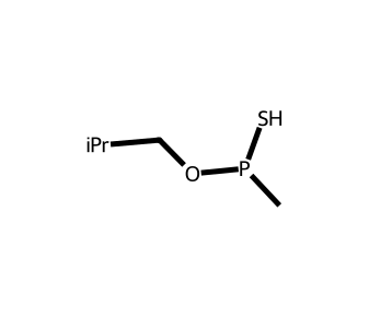 CC(C)COP(C)S